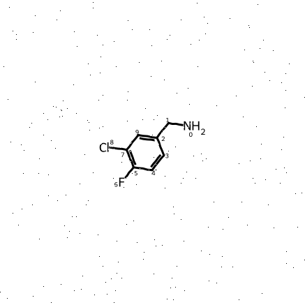 NCc1c[c]c(F)c(Cl)c1